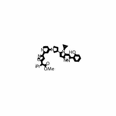 COC(=O)C(c1cc(-c2cc(N3CC[C@@H](c4cc5nnc(-c6ccccc6O)cc5n4C4CC4)C3)ccn2)no1)C(C)C